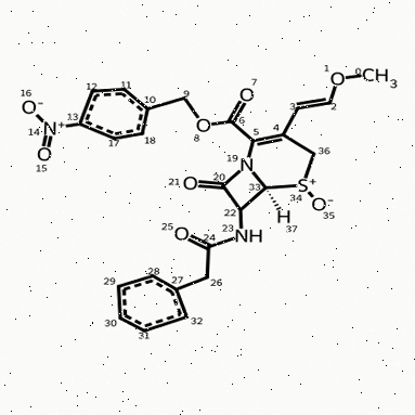 COC=CC1=C(C(=O)OCc2ccc([N+](=O)[O-])cc2)N2C(=O)C(NC(=O)Cc3ccccc3)[C@@H]2[S+]([O-])C1